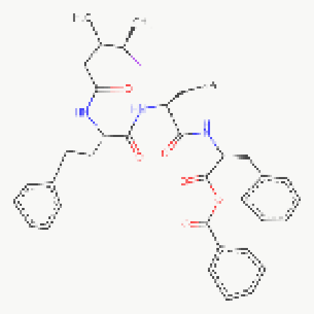 CC(C)C[C@H](NC(=O)[C@H](CCc1ccccc1)NC(=O)CC(C)[C@@H](C)I)C(=O)N[C@@H](Cc1ccccc1)C(=O)OC(=O)c1ccccc1